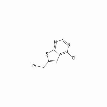 CC(C)Cc1cc2c(Cl)ncnc2s1